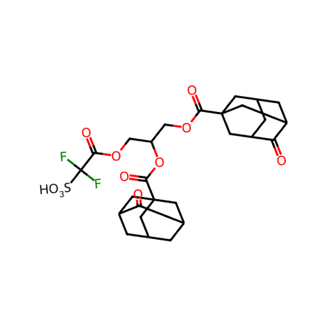 O=C1C2CC3CC1CC(C(=O)OCC(COC(=O)C(F)(F)S(=O)(=O)O)OC(=O)C14CC5CC(C1)C(=O)C(C5)C4)(C3)C2